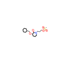 CS(=O)(=O)OCCCn1cccc(OCc2ccccc2)c1=O